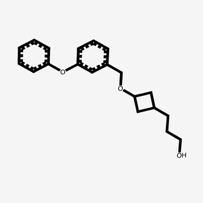 OCCCC1CC(OCc2cccc(Oc3ccccc3)c2)C1